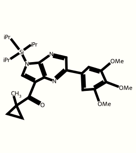 COc1cc(-c2cnc3c(n2)c(C(=O)C2(C)CC2)cn3[Si](C(C)C)(C(C)C)C(C)C)cc(OC)c1OC